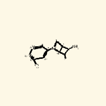 CC1C(N)C2CN(c3cnnc(Cl)c3)C12